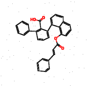 O=C(C=Cc1ccccc1)Oc1cccc2cccc(-c3cccc(-c4ccccc4)c3C(=O)O)c12